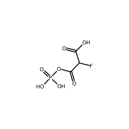 O=C(O)C(F)C(=O)OP(=O)(O)O